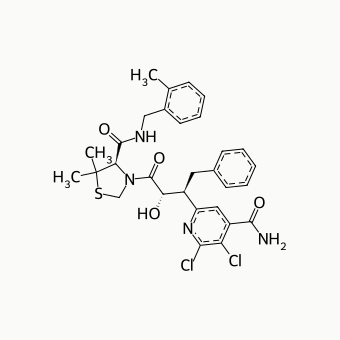 Cc1ccccc1CNC(=O)[C@H]1N(C(=O)[C@@H](O)[C@@H](Cc2ccccc2)c2cc(C(N)=O)c(Cl)c(Cl)n2)CSC1(C)C